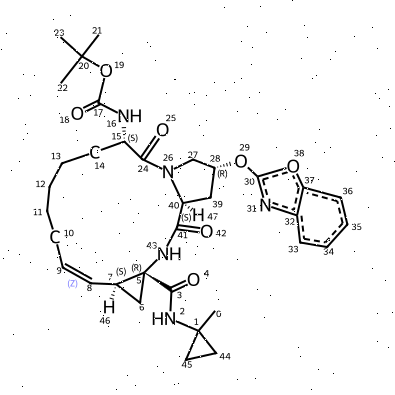 CC1(NC(=O)[C@@]23C[C@H]2/C=C\CCCCC[C@H](NC(=O)OC(C)(C)C)C(=O)N2C[C@H](Oc4nc5ccccc5o4)C[C@H]2C(=O)N3)CC1